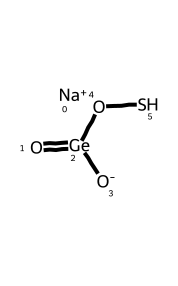 [Na+].[O]=[Ge]([O-])[O]S